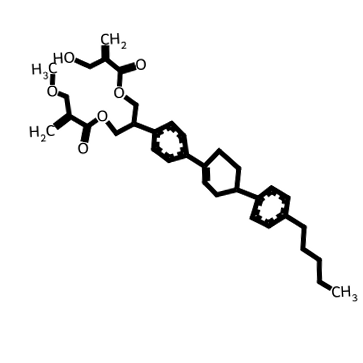 C=C(CO)C(=O)OCC(COC(=O)C(=C)COC)c1ccc(C2=CCC(c3ccc(CCCCC)cc3)CC2)cc1